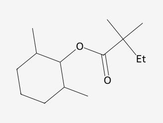 CCC(C)(C)C(=O)OC1C(C)CCCC1C